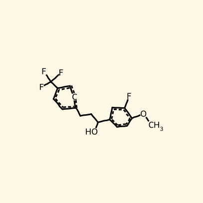 COc1ccc(C(O)CCc2ccc(C(F)(F)F)cc2)cc1F